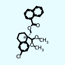 COC(OC)[C@]1(COC(=O)c2cccc3ccccc23)CCCc2cc(Cl)ccc21